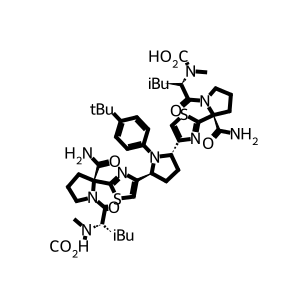 CC[C@H](C)[C@@H](C(=O)N1CCC[C@]1(C(N)=O)c1nc([C@@H]2CC[C@@H](c3csc([C@@]4(C(N)=O)CCCN4C(=O)[C@H]([C@@H](C)CC)N(C)C(=O)O)n3)N2c2ccc(C(C)(C)C)cc2)cs1)N(C)C(=O)O